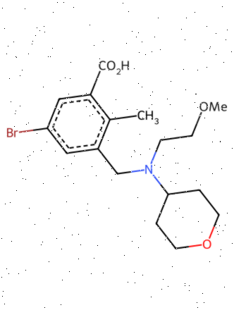 COCCN(Cc1cc(Br)cc(C(=O)O)c1C)C1CCOCC1